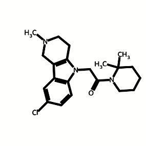 CN1CCc2c(c3cc(Cl)ccc3n2CC(=O)N2CCCCC2(C)C)C1